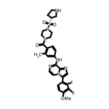 COc1ccc(-c2cnc3c(Nc4ccc(C(=O)N5CCN(S(=O)(=O)[C@@H]6CCNC6)CC5)c(C)c4)nccn23)c(F)c1F